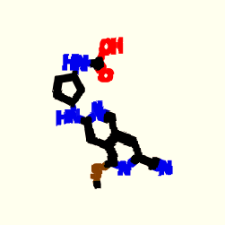 CSc1nc(C#N)cc2cnc(N[C@H]3CC[C@H](NC(=O)O)C3)cc12